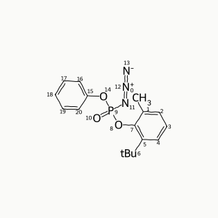 Cc1cccc(C(C)(C)C)c1OP(=O)(N=[N+]=[N-])Oc1ccccc1